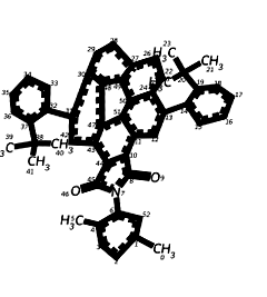 Cc1ccc(C)c(-n2c(=O)c3c4cc(-c5ccccc5C(C)(C)C)c5ccc6ccc7c(-c8ccccc8C(C)(C)C)cc(c3c2=O)c2c7c6c5c42)c1